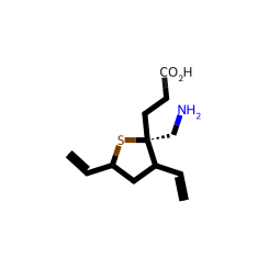 C=CC1CC(C=C)[C@](CN)(CCC(=O)O)S1